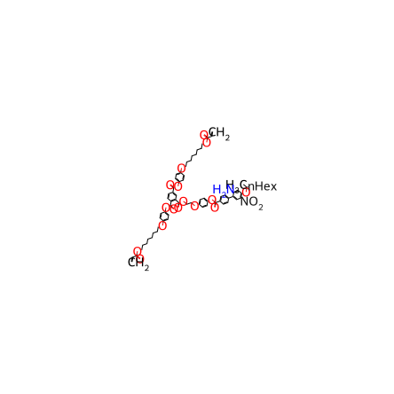 C=CC(=O)OCCCCCCCCOc1ccc(OC(=O)c2ccc(C(=O)Oc3ccc(OCCCCCCCCOC(=O)C=C)cc3)c(C(=O)OCCOc3ccc(OC(=O)c4ccc(-c5cc([N+](=O)[O-])c(O[C@@H](C)CCCCCC)cc5N)cc4)cc3)c2)cc1